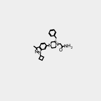 Cc1nn(C2CCC2)c2cc(N3CCN(CC(N)=O)[C@@H](Cc4ccccc4)C3)ccc12